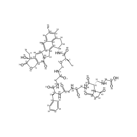 CC[C@@H](OCNC(=O)CNC(=O)[C@H](Cc1ccccc1)NC(=O)CNC(=O)CNC(=O)[C@H](CNCC(=O)O)N1C(=O)C=CC1=O)C(=O)N[C@H]1CCc2c(C)c(F)cc3nc4c(c1c23)Cn1c-4cc2c(c1=O)COC(=O)[C@]2(O)CC